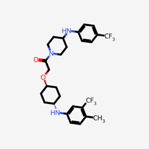 Cc1ccc(N[C@H]2CC[C@H](OCC(=O)N3CCC(Nc4ccc(C(F)(F)F)cc4)CC3)CC2)cc1C(F)(F)F